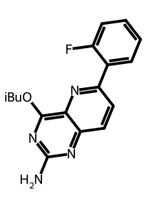 CC(C)COc1nc(N)nc2ccc(-c3ccccc3F)nc12